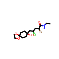 CCNC(=O)C(Br)CC(Cl)CC1(O)CCC2(CC1)OCCO2